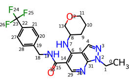 CCn1ncc2c(NC3CCCOC3)c(C(=O)NCc3ccc(C(F)(F)F)cc3)cnc21